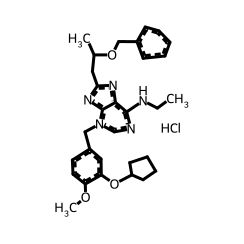 CCNc1ncn(Cc2ccc(OC)c(OC3CCCC3)c2)c2nc(CC(C)OCc3ccccc3)nc1-2.Cl